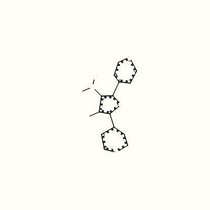 Cc1c(-c2ccncc2)sc(-c2ccncc2)c1N(C)O